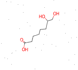 O=C(O)CCCCCC(O)CO